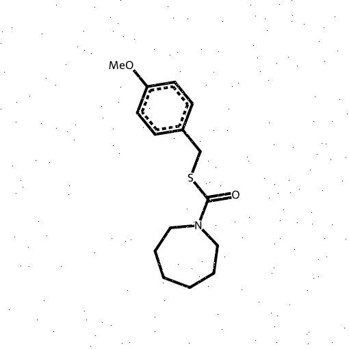 COc1ccc(CSC(=O)N2CCCCCC2)cc1